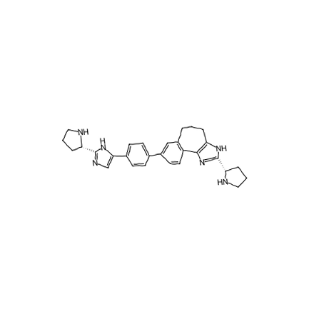 c1cc(-c2cnc([C@@H]3CCCN3)[nH]2)ccc1-c1ccc2c(c1)CCCc1[nH]c([C@@H]3CCCN3)nc1-2